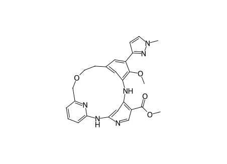 COC(=O)c1cnc2cc1Nc1cc(cc(-c3ccn(C)n3)c1OC)CCOCc1cccc(n1)N2